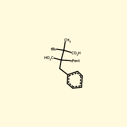 CCCCCC(Cc1ccccc1)(C(=O)O)C(C)(C(=O)O)C(C)(C)C